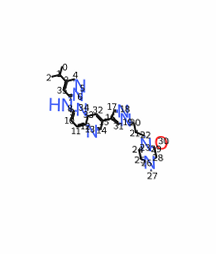 CC(C)c1cnnc(Nc2ccc3ncc(-c4cnn(CCCN5CCN(C)CC5=O)c4)cc3n2)c1